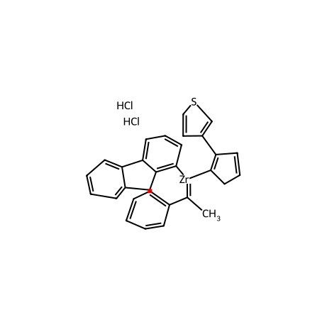 C/[C](c1ccccc1)=[Zr](\[C]1=C(c2ccsc2)C=CC1)[c]1cccc2c1Cc1ccccc1-2.Cl.Cl